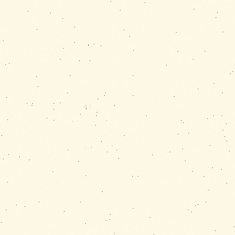 O=C(O)c1cc(C(=O)O)cc(-c2ccc(C(=O)c3ccccc3)cc2)c1